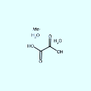 O.O.O=C(O)C(=O)O.[Mn]